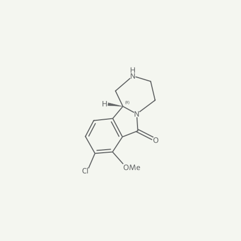 COc1c(Cl)ccc2c1C(=O)N1CCNC[C@@H]21